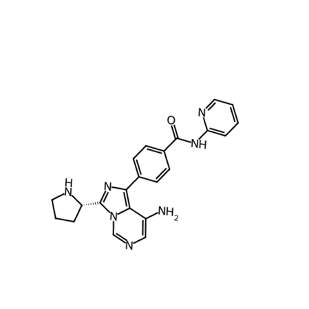 Nc1cncn2c([C@@H]3CCCN3)nc(-c3ccc(C(=O)Nc4ccccn4)cc3)c12